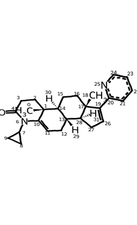 C[C@]12CCC(=O)N(C3CC3)C1=CC[C@@H]1[C@@H]2CC[C@]2(C)C(c3ccccn3)=CC[C@@H]12